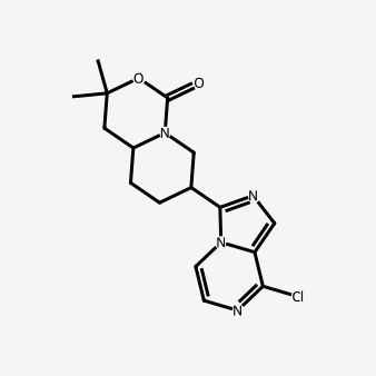 CC1(C)CC2CCC(c3ncc4c(Cl)nccn34)CN2C(=O)O1